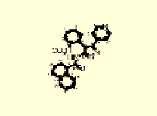 O=C(O)c1ccccc1-c1c(-c2ccncc2)noc1NC(=O)c1cccc2ccccc12